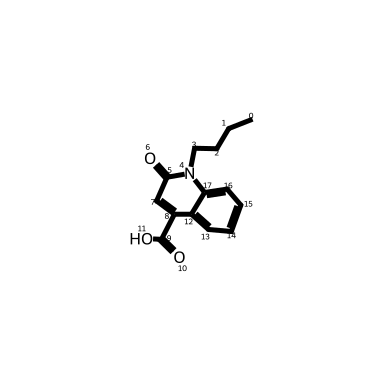 CCCCn1c(=O)cc(C(=O)O)c2ccccc21